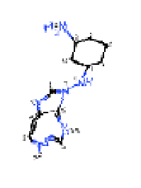 NC1CCCC(Nn2cnc3cncnc32)C1